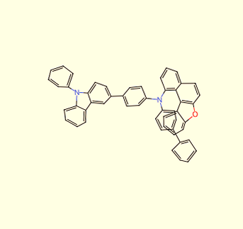 c1ccc(-c2ccc(N(c3ccc(-c4ccc5c(c4)c4ccccc4n5-c4ccccc4)cc3)c3cccc4ccc5oc6ccccc6c5c34)cc2)cc1